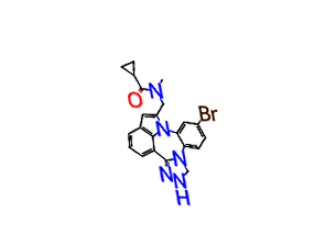 CN(Cc1cc2cccc3c4n(c5ccc(Br)cc5n1c23)CNN=4)C(=O)C1CC1